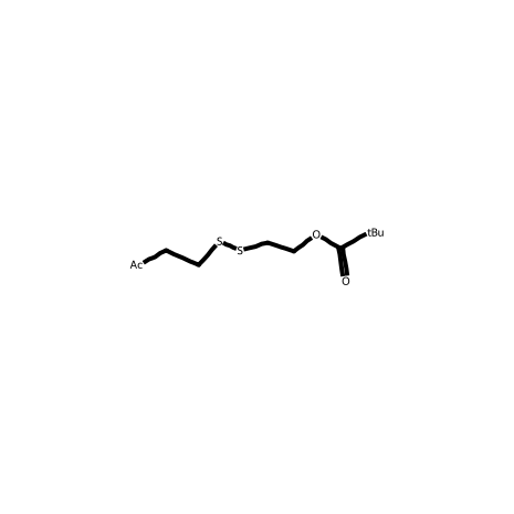 CC(=O)CCSSCCOC(=O)C(C)(C)C